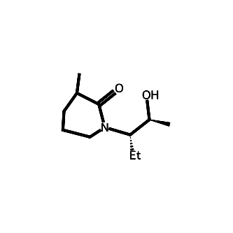 CC[C@@H]([C@H](C)O)N1CCCC(C)C1=O